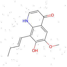 CCC=Cc1c(O)c(OC)cc2c(=O)cc[nH]c12